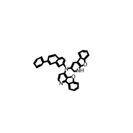 C1=C(N(c2ccc3ccc(-c4ccccc4)cc3c2)c2ccnc3c2oc2ccccc23)CNc2oc3ccccc3c21